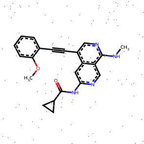 CNc1ncc(C#Cc2ccccc2OC)c2cc(NC(=O)C3CC3)ncc12